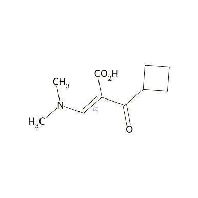 CN(C)/C=C(\C(=O)O)C(=O)C1CCC1